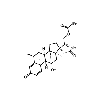 CCCC(=O)O[C@]1(C(=O)COC(=O)C(C)C)CC[C@H]2[C@@H]3C[C@H](C)C4=CC(=O)C=C[C@]4(C)[C@H]3[C@@H](O)C[C@@]21C